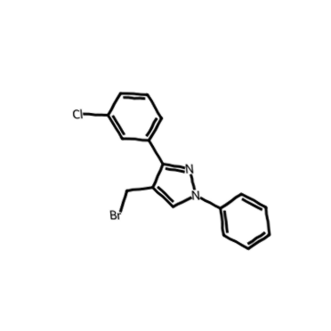 Clc1cccc(-c2nn(-c3ccccc3)cc2CBr)c1